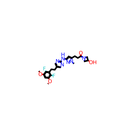 COc1cc(OC)c(F)c(CCc2cnc(Nc3cc(CCC(=O)N4CC(O)C4)n(C)n3)nc2)c1F